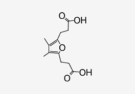 Cc1c(CCC(=O)O)oc(CCC(=O)O)c1C